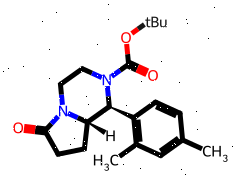 Cc1ccc([C@H]2[C@@H]3CCC(=O)N3CCN2C(=O)OC(C)(C)C)c(C)c1